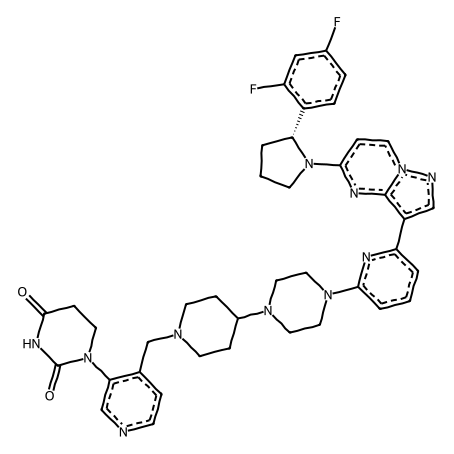 O=C1CCN(c2cnccc2CN2CCC(N3CCN(c4cccc(-c5cnn6ccc(N7CCC[C@@H]7c7ccc(F)cc7F)nc56)n4)CC3)CC2)C(=O)N1